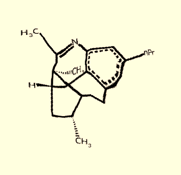 CCCc1cc2c3c(c1)N=C(C)[C@]1(C)[C@H]4C[C@@H](C)C(C2)C341